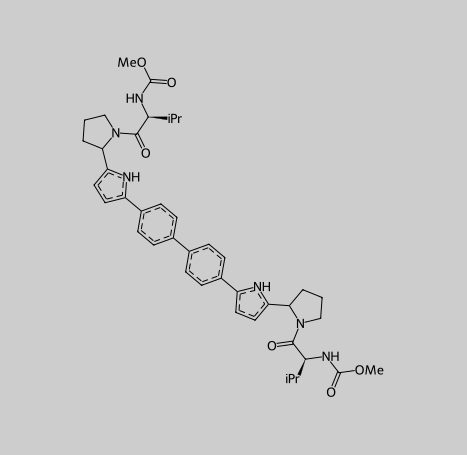 COC(=O)N[C@H](C(=O)N1CCCC1c1ccc(-c2ccc(-c3ccc(-c4ccc(C5CCCN5C(=O)[C@@H](NC(=O)OC)C(C)C)[nH]4)cc3)cc2)[nH]1)C(C)C